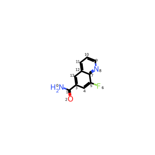 NC(=O)c1cc(F)c2ncccc2c1